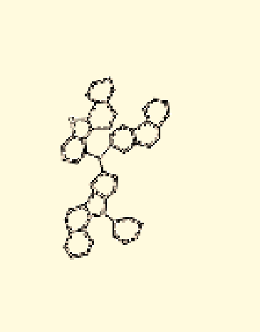 c1ccc(-n2c3ccc(N(c4ccc5c(ccc6ccccc65)c4)c4cccc5oc6c7ccccc7ccc6c45)cc3c3ccc4ccccc4c32)cc1